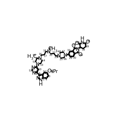 CC(C)Oc1ccc2[nH]nc(-c3cc(N4CCN(CCCN(C)CCCN5CCN(c6ccc7c(c6)C(=O)N(C6CCC(=O)NC6=O)C7=O)CC5)[C@@H](C)C4)ncn3)c2c1